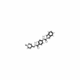 CN1CCC(CNC(=O)c2ccc(NC(=O)N3Cc4ccccc4C3)cc2)CC1